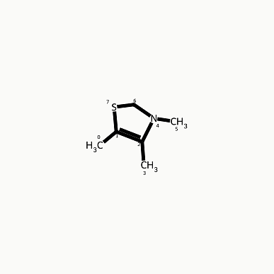 CC1=C(C)N(C)CS1